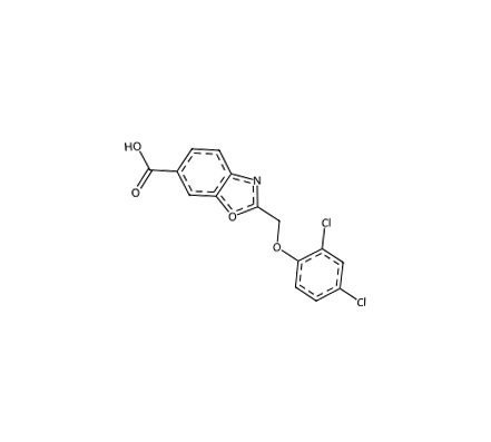 O=C(O)c1ccc2nc(COc3ccc(Cl)cc3Cl)oc2c1